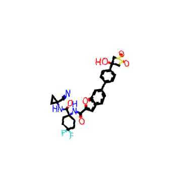 N#CC1(NC(=O)C2(NC(=O)c3cc4ccc(-c5ccc(C6(O)CS(=O)(=O)C6)cc5)cc4o3)CCC(F)(F)CC2)CC1